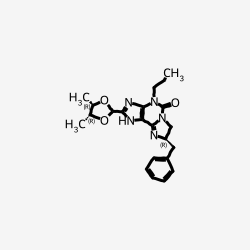 CCCN1C(=O)N2C[C@@H](Cc3ccccc3)N=C2c2[nH]c(C3O[C@H](C)[C@@H](C)O3)nc21